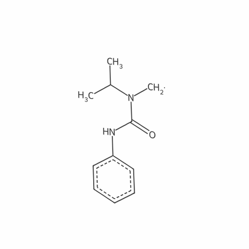 [CH2]N(C(=O)Nc1ccccc1)C(C)C